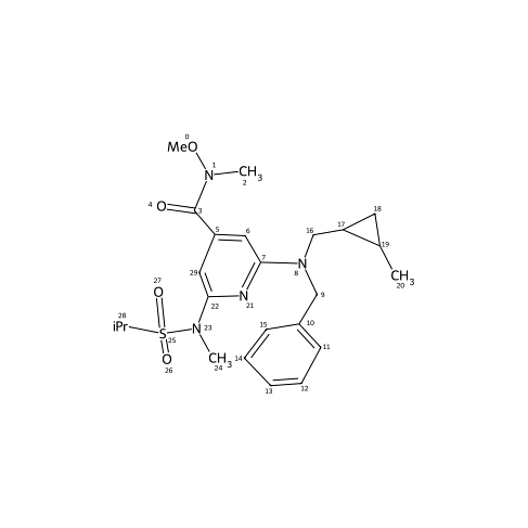 CON(C)C(=O)c1cc(N(Cc2ccccc2)CC2CC2C)nc(N(C)S(=O)(=O)C(C)C)c1